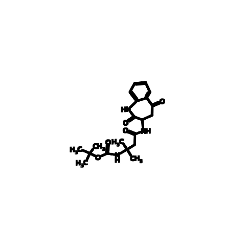 CC(C)(CC(=O)NC1CC(=O)c2ccccc2NC1=O)NC(=O)OC(C)(C)C